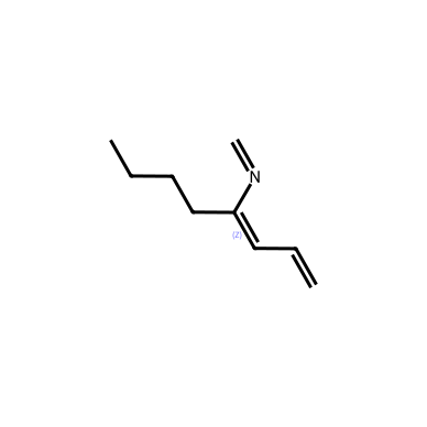 C=C/C=C(/CCCC)N=C